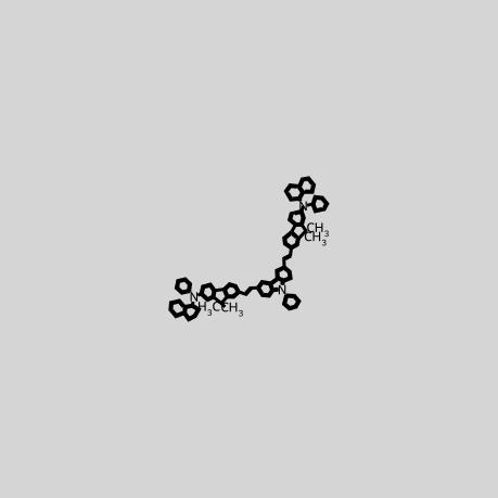 CC1(C)c2cc(/C=C/c3ccc4c(c3)c3cc(/C=C/c5ccc6c(c5)C(C)(C)c5cc(N(c7ccccc7)c7cccc8ccccc78)ccc5-6)ccc3n4-c3ccccc3)ccc2-c2ccc(N(c3ccccc3)c3cccc4ccccc34)cc21